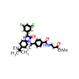 CCC(C)(C)C1CCC2(CC1)N=C(c1cc(F)cc(F)c1)C(=O)N2[C@H](C)c1ccc(C(=O)NCCC(=O)OC)cc1